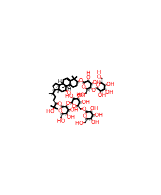 C[C@H](CC[C@@H](O[C@@H]1O[C@H](CO)[C@@H](O)[C@H](O)[C@H]1O[C@@H]1O[C@H](CO[C@@H]2O[C@H](CO)[C@@H](O)[C@H](O)[C@H]2O)[C@@H](O)[C@H](O)[C@H]1O)C(C)(C)O)[C@H]1CC[C@@]2(C)[C@@H]3CC=C4[C@@H](CC[C@H](O[C@@H]5O[C@H](CO)[C@@H](O[C@@H]6O[C@H](CO)[C@@H](O)[C@H](O)[C@H]6O)[C@H](O)[C@H]5O)C4(C)C)[C@]3(C)C(=O)C[C@]12C